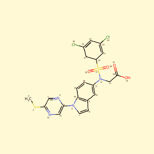 CSc1cnc(-n2ccc3cc(N(CC(=O)O)S(=O)(=O)C4C=C(Cl)C=C(Cl)C4)ccc32)cn1